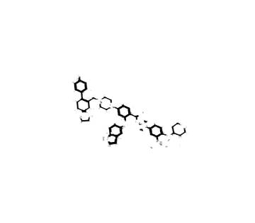 CN(c1ccc(S(=O)(=O)NC(=O)c2ccc(N3CCN(CC4=C(c5ccc(Cl)cc5)CCC5(C4)OCCO5)CC3)cc2Oc2ccc3[nH]ccc3c2)cc1[N+](=O)[O-])C1CCOCC1